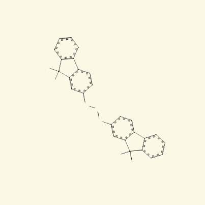 CC1(C)c2ccccc2-c2ccc(OBOc3ccc4c(c3)C(C)(C)c3ccccc3-4)cc21